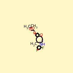 C=C1/C=C(Nc2ccc(F)cc2F)\C=C/CC(=O)c2ccc(OCC3COC(C)(C)O3)cc2CC1